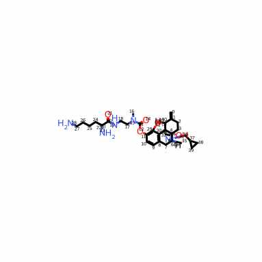 C=C1CC[C@@]2(O)[C@H]3Cc4ccc(OC(=O)N(C)CCNC(=O)[C@@H](N)CCCCN)c5c4[C@@]2(CC[N+]3(C)CC2CC2)[C@H]1O5